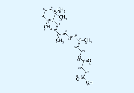 CC(C=CC1=C(C)CCCC1(C)C)=CC=CC(C)=CCOC(=O)CCC(=O)O